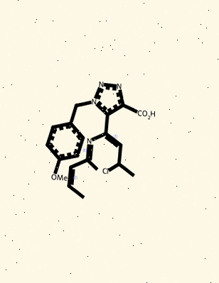 C\C=C/C(C)=N/C(=C\C(C)Cl)c1c(C(=O)O)nnn1Cc1ccc(OC)cc1